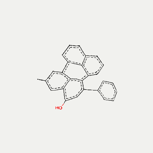 Cc1cc2c(O)cc(-c3ccccc3)c3c4cccc5cccc(c(c1)c23)c54